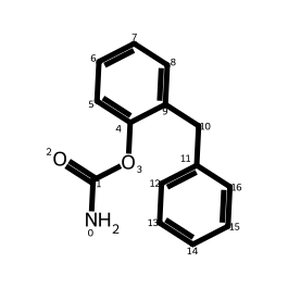 NC(=O)Oc1ccccc1Cc1ccccc1